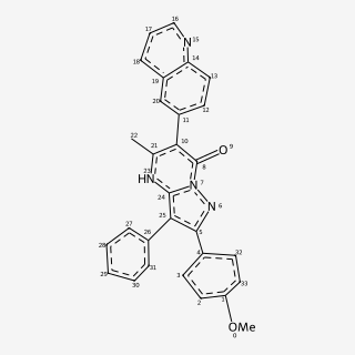 COc1ccc(-c2nn3c(=O)c(-c4ccc5ncccc5c4)c(C)[nH]c3c2-c2ccccc2)cc1